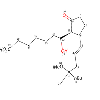 CCCCC(C)(C/C=C/[C@H]1CCC(=O)[C@@H]1C(O)CCCCCC(=O)O)OC